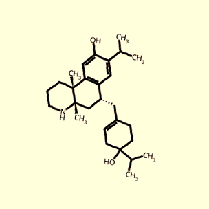 CC(C)c1cc2c(cc1O)[C@@]1(C)CCCN[C@@]1(C)C[C@H]2CC1=CCC(O)(C(C)C)CC1